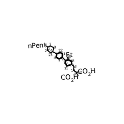 CCCCCC1CCC(c2ccc(-c3ccc(CCC(C(=O)O)C(=O)O)cc3CC)cc2)CC1